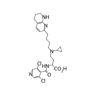 O=C(NC(CCN(CCCCc1ccc2c(n1)NCCC2)C1CC1)C(=O)O)c1c(Cl)cncc1Cl